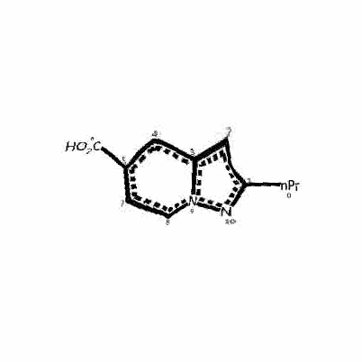 CCCc1cc2cc(C(=O)O)ccn2n1